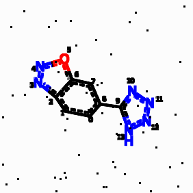 c1cc2nnoc2cc1-c1nnn[nH]1